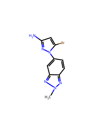 Cn1nc2ccc(-n3nc(N)cc3Br)cc2n1